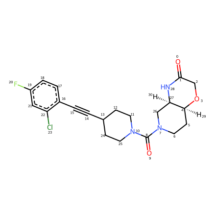 O=C1CO[C@H]2CCN(C(=O)N3CCC(C#Cc4ccc(F)cc4Cl)CC3)C[C@H]2N1